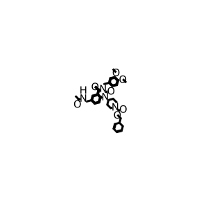 COc1ccc(Cn2c(=O)c3cc(CNC(C)=O)ccc3n(C3CCN(C(=O)OCC4C=CC=CC4)CC3)c2=O)cc1OC